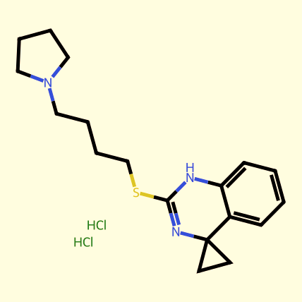 Cl.Cl.c1ccc2c(c1)NC(SCCCCN1CCCC1)=NC21CC1